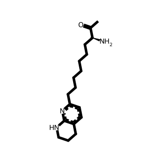 CC(=O)[C@@H](N)CCCCCCCc1ccc2c(n1)NCCC2